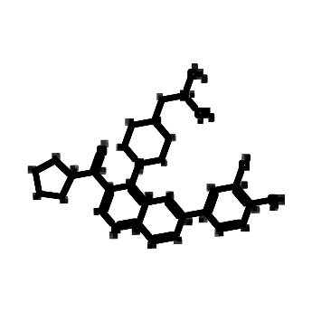 CN(C)CC1CCN(c2c(C(=O)C3CCCC3)cnc3ccc(-c4ccc(O)c(Cl)c4)cc23)CC1